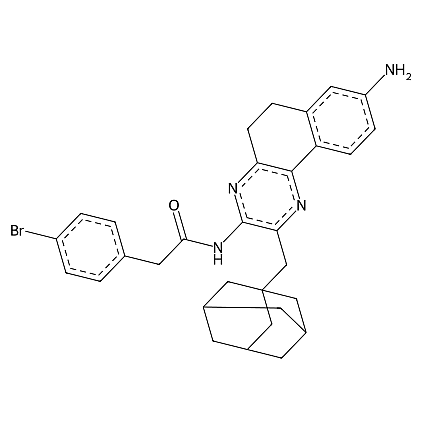 Nc1ccc2c(c1)CCc1nc(NC(=O)Cc3ccc(Br)cc3)c(CC34CC5CC(CC(C5)C3)C4)nc1-2